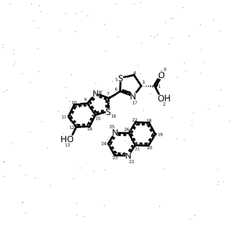 O=C(O)[C@H]1CSC(c2nc3ccc(O)cc3s2)=N1.c1ccc2nccnc2c1